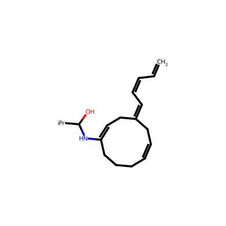 C=C/C=C\C=C1\C/C=C\CCC/C(NC(O)C(C)C)=C\C1